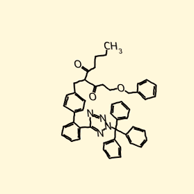 CCCCC(=O)C(Cc1ccc(-c2ccccc2-c2nnn(C(c3ccccc3)(c3ccccc3)c3ccccc3)n2)cc1)C(=O)CCOCc1ccccc1